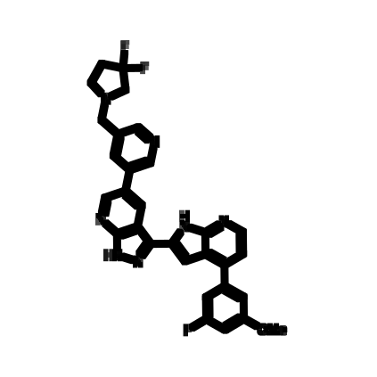 COc1cc(F)cc(-c2ccnc3[nH]c(-c4n[nH]c5ncc(-c6cncc(CN7CCC(F)(F)C7)c6)cc45)cc23)c1